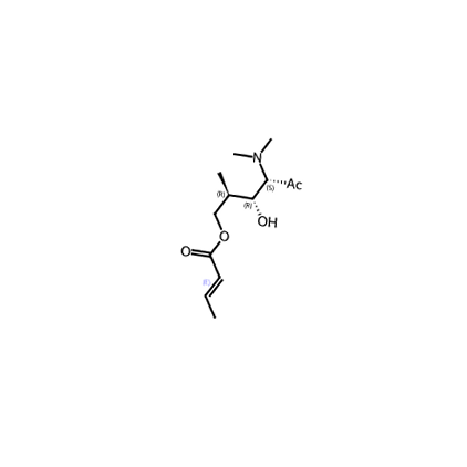 C/C=C/C(=O)OC[C@@H](C)[C@@H](O)[C@@H](C(C)=O)N(C)C